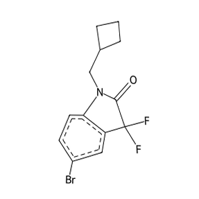 O=C1N(CC2CCC2)c2ccc(Br)cc2C1(F)F